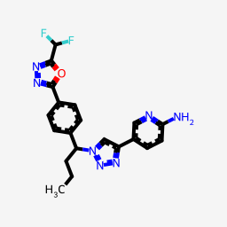 CCCC(c1ccc(-c2nnc(C(F)F)o2)cc1)n1cc(-c2ccc(N)nc2)nn1